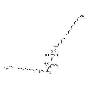 CCCCCCCCCCCCSCCC(=O)OOC(C)(C)C#CC(C)(C)OOC(=O)CCSCCCCCCCCCCCC